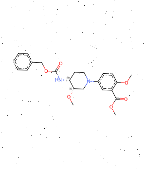 COC(=O)c1cc(N2CC[C@@H](NC(=O)OCc3ccccc3)[C@@H](OC)C2)ccc1OC